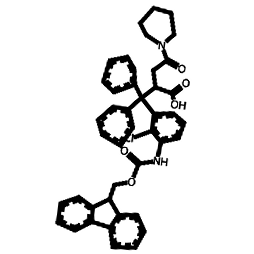 O=C(Nc1cccc(C(c2ccccc2)(c2ccccc2)C(CC(=O)N2CCCCC2)C(=O)O)c1Cl)OCC1c2ccccc2-c2ccccc21